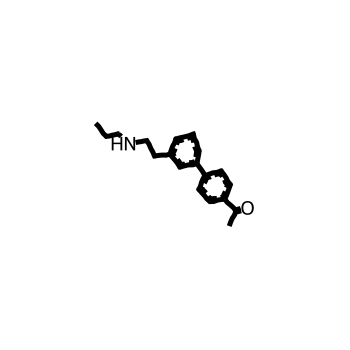 CCCNCCc1cccc(-c2ccc(C(C)=O)cc2)c1